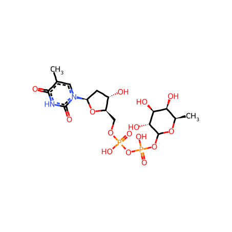 Cc1cn([C@H]2C[C@H](O)[C@@H](COP(=O)(O)OP(=O)(O)OC3O[C@H](C)[C@H](O)[C@H](O)[C@H]3O)O2)c(=O)[nH]c1=O